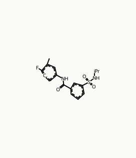 Cc1cc(NC(=O)c2cccc(S(=O)(=O)NC(C)C)c2)ccc1F